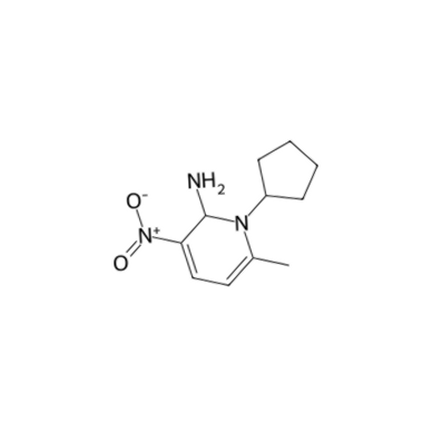 CC1=CC=C([N+](=O)[O-])C(N)N1C1CCCC1